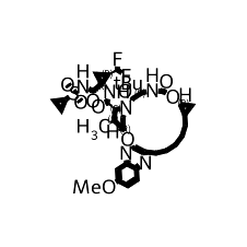 COc1ccc2nc3c(nc2c1)O[C@H]1CN(C(=O)[C@H](C(C)(C)C)NC(=O)O[C@@H]2CC2CCCCC3)[C@H](C(=O)N[C@]2(C(=O)NS(=O)(=O)C3CC3)C[C@H]2C(F)F)[C@@H]1C